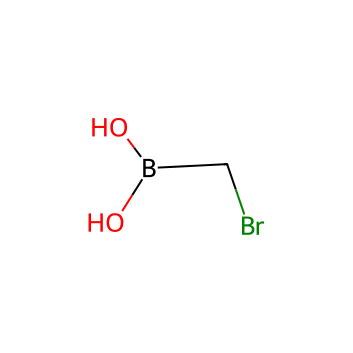 OB(O)CBr